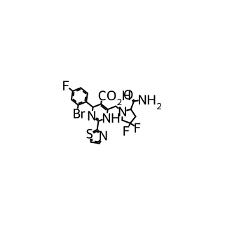 NC(=O)C1CC(F)(F)CN1CC1=C(C(=O)O)C(c2ccc(F)cc2Br)N=C(c2nccs2)N1